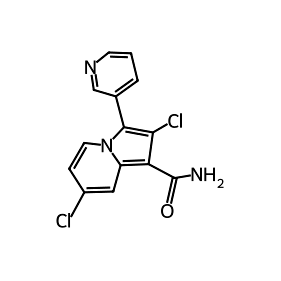 NC(=O)c1c(Cl)c(-c2cccnc2)n2ccc(Cl)cc12